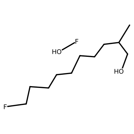 CC(CO)CCCCCCCCF.OF